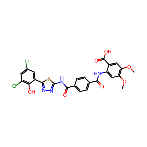 COc1cc(NC(=O)c2ccc(C(=O)Nc3nnc(-c4cc(Cl)cc(Cl)c4O)s3)cc2)c(C(=O)O)cc1OC